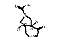 O=C1CCC[C@@H]2CN(C(=O)O)C[C@H]12